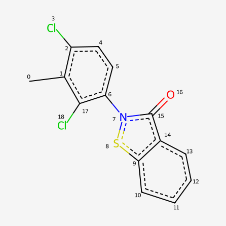 Cc1c(Cl)ccc(-n2sc3ccccc3c2=O)c1Cl